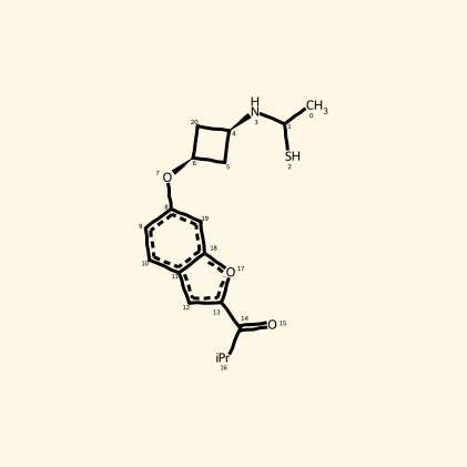 CC(S)N[C@H]1C[C@@H](Oc2ccc3cc(C(=O)C(C)C)oc3c2)C1